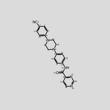 N#Cc1ccc(N2CCN(c3ccc(NC(=O)c4ccncn4)cc3)CC2)cc1